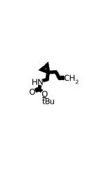 C=CCC1(CNC(=O)OC(C)(C)C)CC1